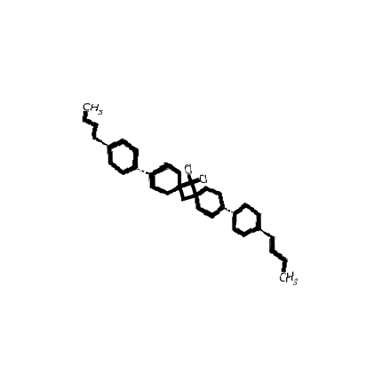 CCCC[C@H]1CC[C@H](C2CCC3(CC2)CC2(CCC([C@H]4CC[C@H](CCCC)CC4)CC2)C3(Cl)Cl)CC1